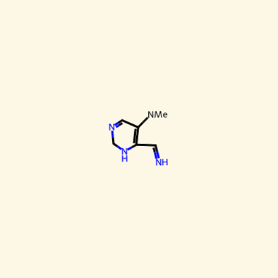 CNC1=C(C=N)NCN=C1